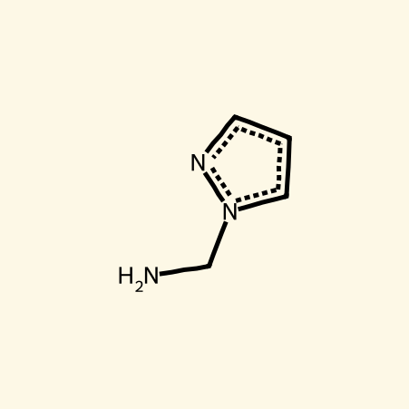 NCn1cccn1